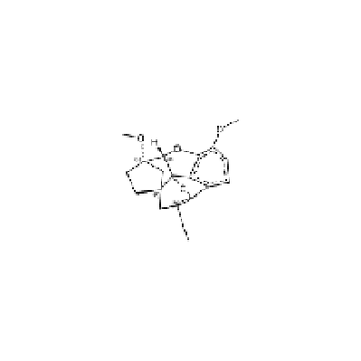 COc1ccc2c3c1O[C@@H]1C34CCN(C)C(C2)[C@@]42CC[C@]1(OC)C2